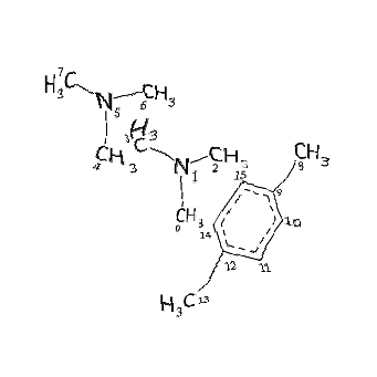 CN(C)C.CN(C)C.Cc1ccc(C)cc1